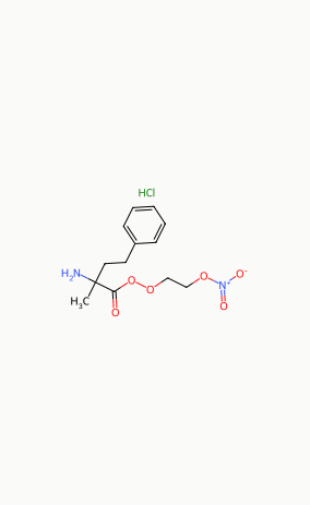 CC(N)(CCc1ccccc1)C(=O)OOCCO[N+](=O)[O-].Cl